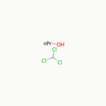 CCCO.ClC(Cl)Cl